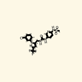 CS(=O)(=O)Nc1ccc(NC(=O)NCc2cc(C(F)(F)F)nn2-c2cccc(Cl)c2)cn1